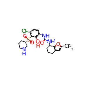 O=C(Nc1ccc(Cl)c(S(=O)(=O)[C@H]2CCCNC2)c1O)NC1CCCc2cc(C(F)(F)F)oc21